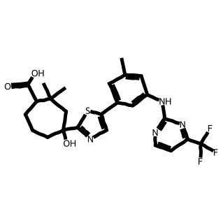 Cc1cc(Nc2nccc(C(F)(F)F)n2)cc(-c2cnc(C3(O)CCCC(C(=O)O)C(C)(C)C3)s2)c1